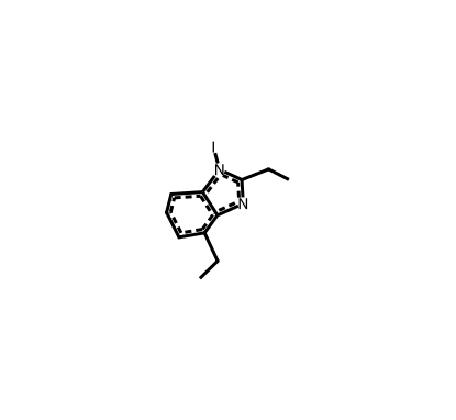 CCc1cccc2c1nc(CC)n2I